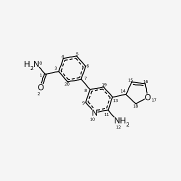 NC(=O)c1cccc(-c2cnc(N)c(C3C=COC3)c2)c1